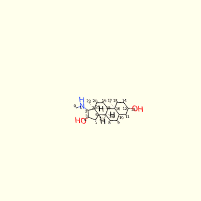 CNC1C(O)C[C@H]2[C@@H]3CCC4CC(O)CC[C@]4(C)[C@@H]3CC[C@]12C